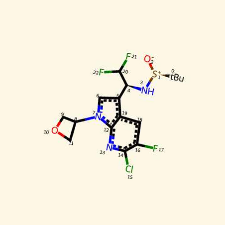 CC(C)(C)[S@+]([O-])N[C@@H](c1cn(C2COC2)c2nc(Cl)c(F)cc12)C(F)F